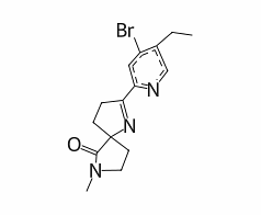 CCc1cnc(C2=NC3(CC2)CCN(C)C3=O)cc1Br